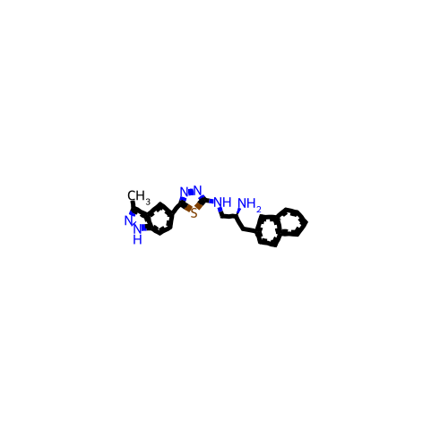 Cc1n[nH]c2ccc(-c3nnc(NC[C@@H](N)Cc4ccc5ccccc5c4)s3)cc12